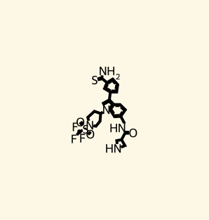 NC(=S)c1cccc(-c2cn(C3CCN(S(=O)(=O)C(F)(F)F)CC3)c3cc(CNC(=O)C4CNC4)ccc23)c1